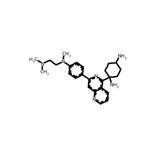 CN(C)CCN(C)c1ccc(-c2cc3ncccc3c(C3(N)CCC(N)CC3)n2)cc1